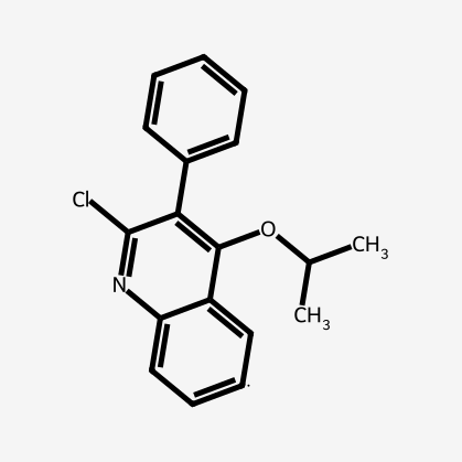 CC(C)Oc1c(-c2ccccc2)c(Cl)nc2cc[c]cc12